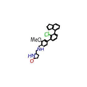 COc1cc(-c2cccc(-c3cccc4c3CCC4)c2Cl)ccc1CNCC1CCC(=O)N1